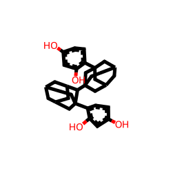 Oc1ccc(C23CC4CC(C2)CC(C2C5CC6CC(C5)CC2(c2ccc(O)cc2O)C6)(C4)C3)c(O)c1